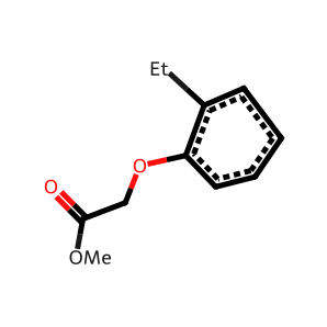 [CH2]Cc1ccccc1OCC(=O)OC